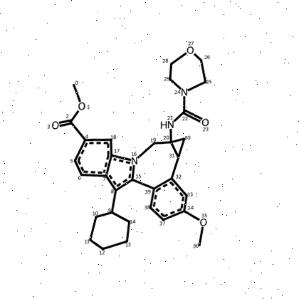 COC(=O)c1ccc2c(C3CCCCC3)c3n(c2c1)CC1(NC(=O)N2CCOCC2)CC1c1cc(OC)ccc1-3